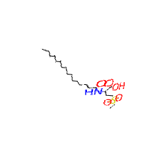 CCCCCCCCCCCCCCCC(=O)NC(CCS(=O)(=O)CC)C(=O)O